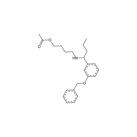 CCCC(NCCCCOC(C)=O)c1cccc(OCc2ccccc2)c1